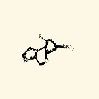 O=[N+]([O-])c1cc(F)c2c(c1)OCc1nccn1-2